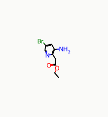 CCOC(=O)Cc1ncc(Br)cc1N